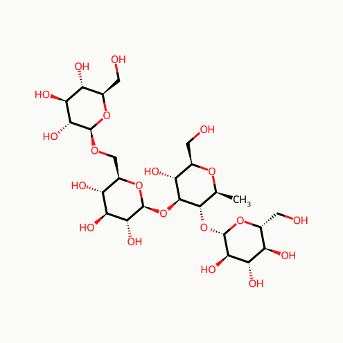 C[C@@H]1O[C@H](CO)[C@@H](O)[C@H](O[C@@H]2O[C@H](CO[C@@H]3O[C@H](CO)[C@@H](O)[C@H](O)[C@H]3O)[C@@H](O)[C@H](O)[C@H]2O)[C@H]1O[C@@H]1O[C@H](CO)[C@@H](O)[C@H](O)[C@H]1O